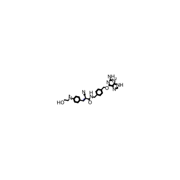 CN(CCO)c1ccc(/C=C(\C#N)C(=O)NCc2ccc(COc3nc(N)nc4[nH]cnc34)cc2)cc1